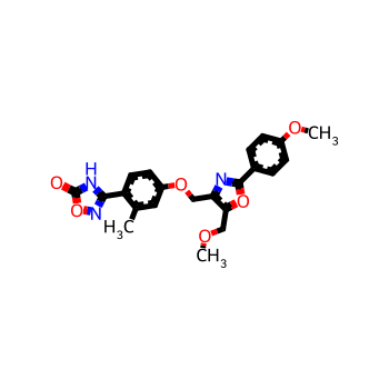 COCc1oc(-c2ccc(OC)cc2)nc1COc1ccc(-c2noc(=O)[nH]2)c(C)c1